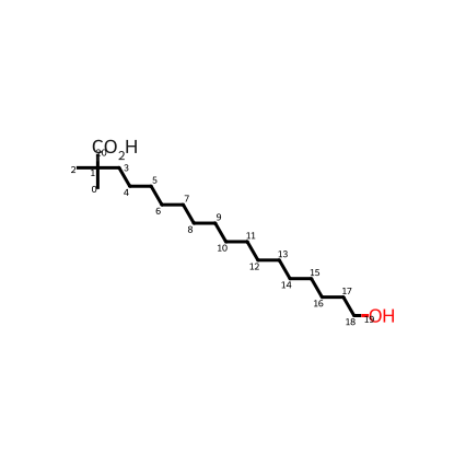 CC(C)(CCCCCCCCCCCCCCCCO)C(=O)O